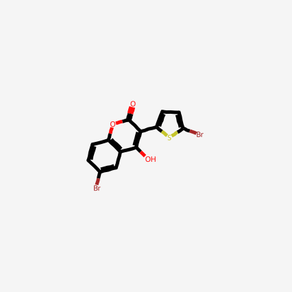 O=c1oc2ccc(Br)cc2c(O)c1-c1ccc(Br)s1